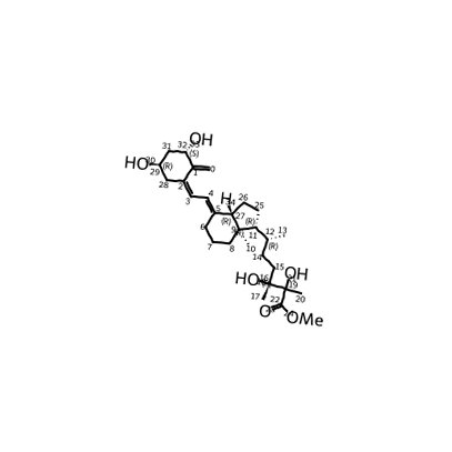 C=C1C(=CC=C2CCC[C@]3(C)[C@@H]([C@H](C)CC[C@@](C)(O)C(C)(O)C(=O)OC)CC[C@@H]23)C[C@@H](O)C[C@@H]1O